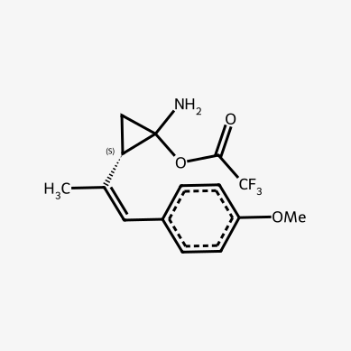 COc1ccc(C=C(C)[C@@H]2CC2(N)OC(=O)C(F)(F)F)cc1